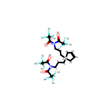 O=C(N(CCC[Si]1(CCCN(C(=O)C(F)(F)F)C(=O)C(F)(F)F)CC=CC1)C(=O)C(F)(F)F)C(F)(F)F